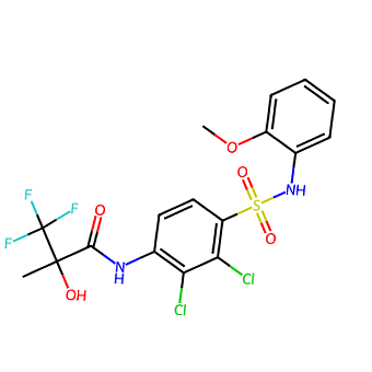 COc1ccccc1NS(=O)(=O)c1ccc(NC(=O)C(C)(O)C(F)(F)F)c(Cl)c1Cl